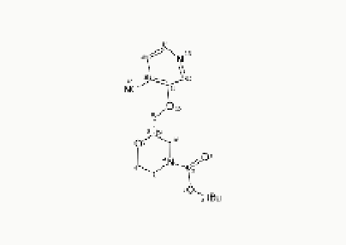 CC(C)(C)OC(=O)N1CCO[C@H](COc2cnccc2C#N)C1